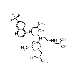 CC(O)CNCCN(CCN(CC(C)O)CC(C)O)CCN(CC(C)O)c1ccnc2cc(C(F)(F)F)ccc12